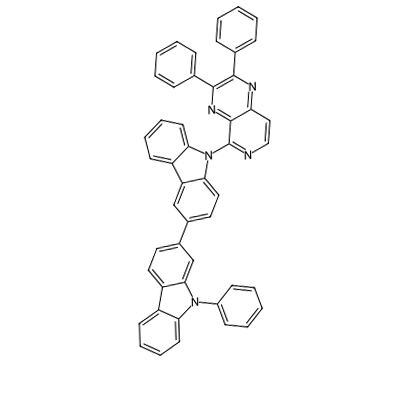 c1ccc(-c2nc3ccnc(-n4c5ccccc5c5cc(-c6ccc7c8ccccc8n(-c8ccccc8)c7c6)ccc54)c3nc2-c2ccccc2)cc1